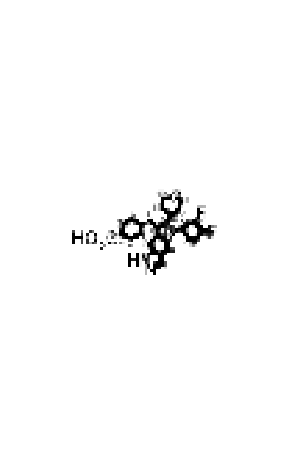 O=C(O)[C@H]1CC[C@H](Cc2c(C3CCOCC3)n(-c3ccc(F)c(F)c3)c3cc4cn[nH]c4cc23)CC1